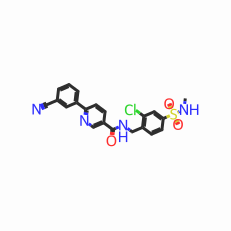 CNS(=O)(=O)c1ccc(CNC(=O)c2ccc(-c3cccc(C#N)c3)nc2)c(Cl)c1